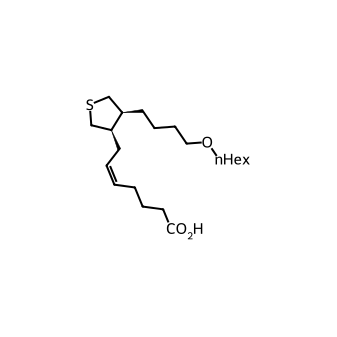 CCCCCCOCCCC[C@@H]1CSC[C@@H]1C/C=C\CCCC(=O)O